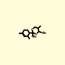 CCCCC1OC(CCCC)(C2CCC(C)=CC2C)OCC1C